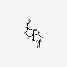 C=CN1CCC2(CCNC2)C1